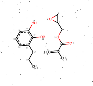 C=C(C)C(=O)OCC1CO1.CCCc1cccc(O)c1O